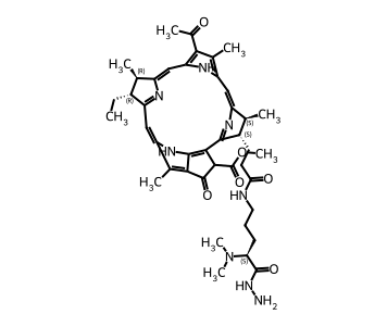 CC[C@H]1c2cc3[nH]c4c(c3C)C(=O)C(C(=O)OC)c4c3nc(cc4[nH]c(cc(n2)[C@@H]1C)c(C(C)=O)c4C)[C@@H](C)[C@@H]3CCC(=O)NCCC[C@@H](C(=O)NN)N(C)C